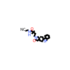 CN(C)[C@]1(c2ccccc2)CC[C@@]2(CC1)CC(=O)N(CCC(C)(C)C(=O)NCCC#N)C2